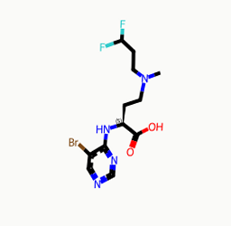 CN(CCC(F)F)CC[C@H](Nc1ncncc1Br)C(=O)O